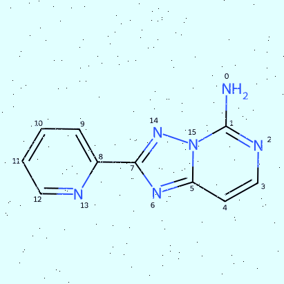 Nc1nccc2nc(-c3ccccn3)nn12